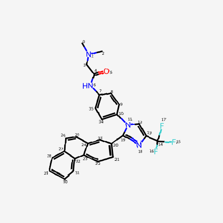 CN(C)CC(=O)Nc1ccc(-n2cc(C(F)(F)F)nc2-c2ccc3c(ccc4ccccc43)c2)cc1